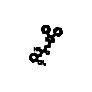 CC1CCCCC1CC(=N)C(=O)CSc1nc(-c2ccccc2)c(-c2ccccc2)o1